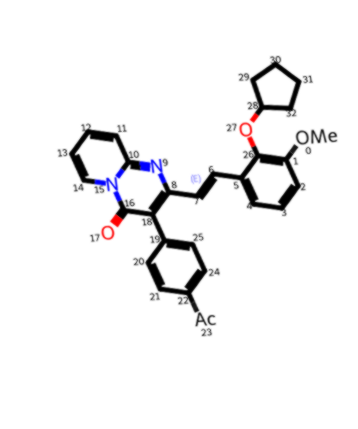 COc1cccc(/C=C/c2nc3ccccn3c(=O)c2-c2ccc(C(C)=O)cc2)c1OC1CCCC1